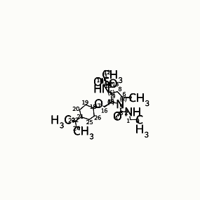 CCNC(=O)N1[C@H](C)C[C@H](NS(C)(=O)=O)[C@@H]1COC1CCC(C(C)C)CC1